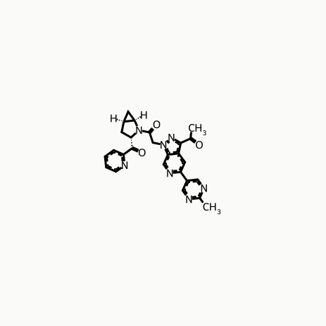 CC(=O)c1nn(CC(=O)N2[C@@H]3C[C@@H]3C[C@H]2C(=O)c2ccccn2)c2cnc(-c3cnc(C)nc3)cc12